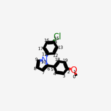 COc1ccc(-c2cccn2-c2ccc(Cl)cc2)cc1